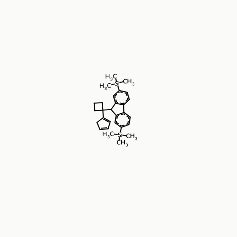 C[Si](C)(C)c1ccc2c(c1)C(C1(C3=CC=CC3)CCC1)c1cc([Si](C)(C)C)ccc1-2